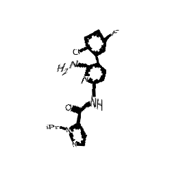 CC(C)n1nccc1C(=O)Nc1ccc(-c2cc(F)ccc2Cl)c(N)n1